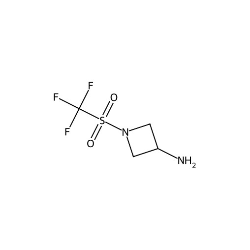 NC1CN(S(=O)(=O)C(F)(F)F)C1